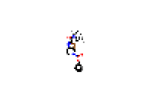 CN(C)C(=O)c1nc2c(s1)CN(C(=O)OCc1ccccc1)CCC2